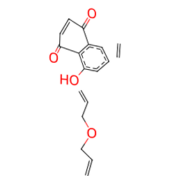 C=C.C=CCOCC=C.O=C1C=CC(=O)c2c(O)cccc21